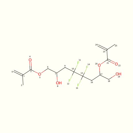 C=C(C)C(=O)OCC(O)CC(F)(F)C(F)(F)CC(CO)OC(=O)C(=C)C